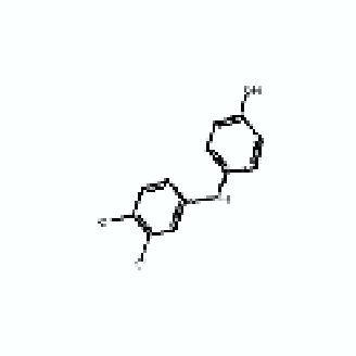 Oc1ccc(Nc2ccc(Cl)c(Cl)c2)cc1